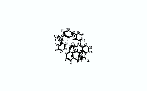 CC(C)c1cccc(C(C)C)c1N(C(N)=O)C(=O)N(c1ccccc1)c1ccccc1.c1ccc(Nc2ccccc2)cc1